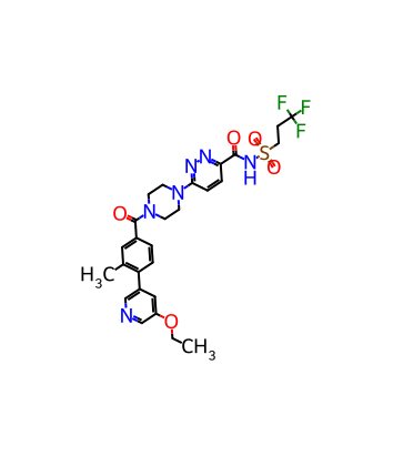 CCOc1cncc(-c2ccc(C(=O)N3CCN(c4ccc(C(=O)NS(=O)(=O)CCC(F)(F)F)nn4)CC3)cc2C)c1